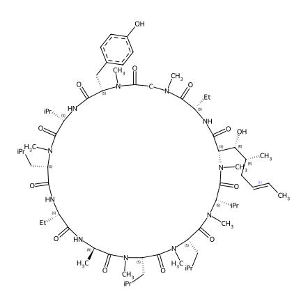 C/C=C/C[C@@H](C)[C@@H](O)[C@H]1C(=O)N[C@@H](CC)C(=O)N(C)CC(=O)N(C)[C@@H](Cc2ccc(O)cc2)C(=O)N[C@@H](C(C)C)C(=O)N(C)[C@@H](CC(C)C)C(=O)N[C@@H](CC)C(=O)N[C@H](C)C(=O)N(C)[C@@H](CC(C)C)C(=O)N(C)[C@@H](CC(C)C)C(=O)N(C)[C@@H](C(C)C)C(=O)N1C